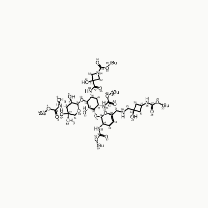 CN(C(=O)OC(C)(C)C)[C@@H]1[C@@H](O)[C@@H](O[C@@H]2[C@@H](O)[C@H](O[C@H]3OC(CNCC4(O)CC(NC(=O)OC(C)(C)C)C4)=CC[C@H]3NC(=O)OC(C)(C)C)[C@@H](NC(=O)OC(C)(C)C)C[C@H]2NC(=O)C2(O)CN(C(=O)OC(C)(C)C)C2)OC[C@]1(C)O